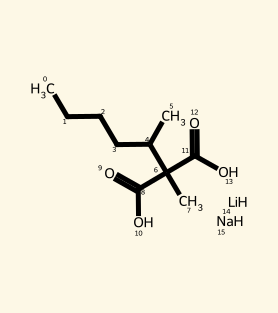 CCCCC(C)C(C)(C(=O)O)C(=O)O.[LiH].[NaH]